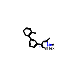 C=N/C(C)=C\C(=C/CCCCCC)c1cccc(C2=C(C)C=CCC2)c1